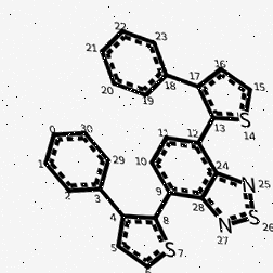 c1ccc(-c2ccsc2-c2ccc(-c3sccc3-c3ccccc3)c3nsnc23)cc1